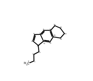 CCCC[C]1C=Cc2cc3c(cc21)CCCC3